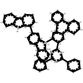 c1ccc(-c2nc(-c3ccccc3)nc(-c3cc4c5ccccc5c5ccccc5c4cc3-n3c4ccccc4c4ccc(-c5cccc6c5sc5ccccc56)cc43)n2)cc1